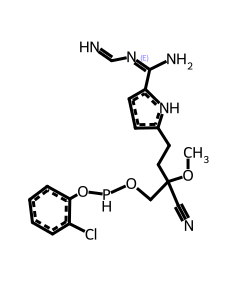 COC(C#N)(CCc1ccc(/C(N)=N\C=N)[nH]1)COPOc1ccccc1Cl